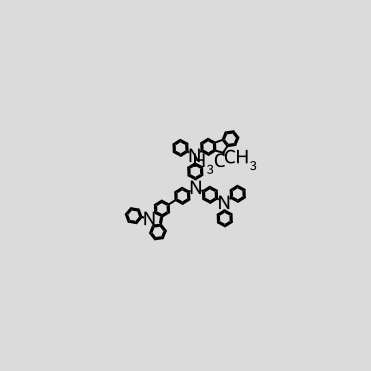 CC1(C)c2ccccc2-c2ccc(N(c3ccccc3)c3ccc(N(c4ccc(-c5ccc6c(c5)c5ccccc5n6-c5ccccc5)cc4)c4ccc(N(c5ccccc5)c5ccccc5)cc4)cc3)cc21